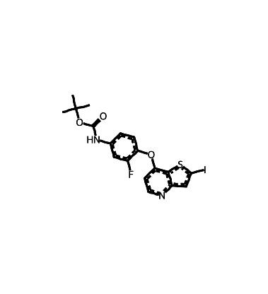 CC(C)(C)OC(=O)Nc1ccc(Oc2ccnc3cc(I)sc23)c(F)c1